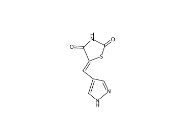 O=C1NC(=O)/C(=C/c2cn[nH]c2)S1